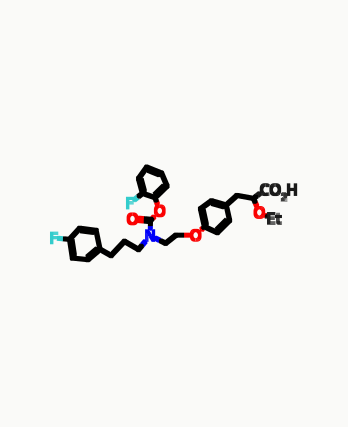 CCOC(Cc1ccc(OCCN(CCCc2ccc(F)cc2)C(=O)Oc2ccccc2F)cc1)C(=O)O